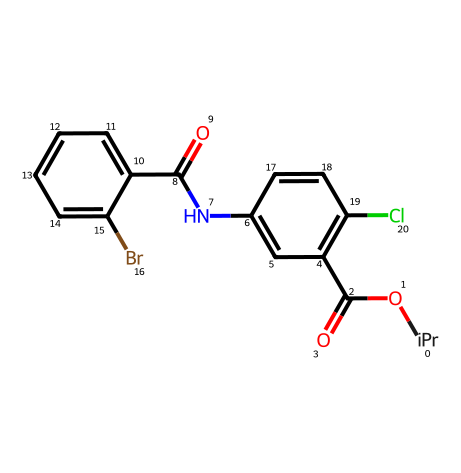 CC(C)OC(=O)c1cc(NC(=O)c2ccccc2Br)ccc1Cl